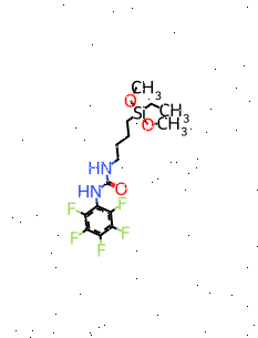 CC[Si](CCCCNC(=O)Nc1c(F)c(F)c(F)c(F)c1F)(OC)OC